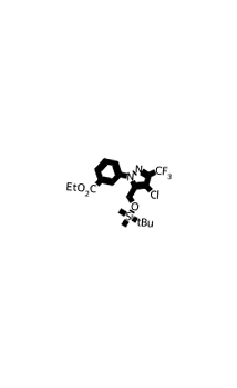 CCOC(=O)c1cccc(-n2nc(C(F)(F)F)c(Cl)c2CO[Si](C)(C)C(C)(C)C)c1